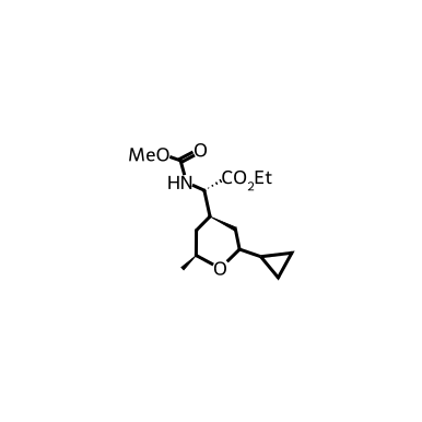 CCOC(=O)[C@@H](NC(=O)OC)[C@H]1CC(C2CC2)O[C@@H](C)C1